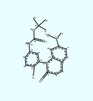 C[S+]([O-])c1ncc2ccc(=O)n(-c3cc(NC(=O)OC(C)(C)C)ccc3F)c2n1